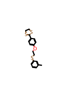 Cc1cccc(SCCOc2ccc(C3SCCS3)cc2)c1